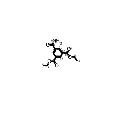 CCOC(=O)c1cc(C(N)=O)cc(C(=O)OCC)c1